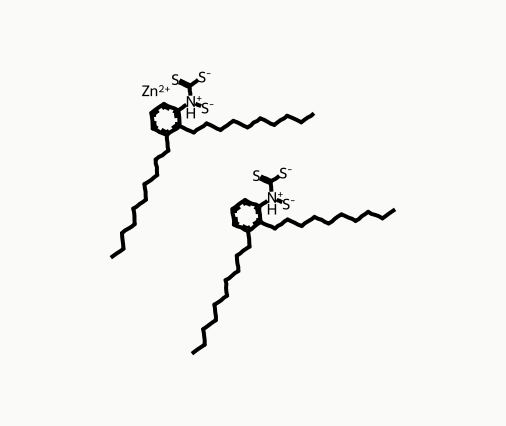 CCCCCCCCCCc1cccc([NH+]([S-])C(=S)[S-])c1CCCCCCCCCC.CCCCCCCCCCc1cccc([NH+]([S-])C(=S)[S-])c1CCCCCCCCCC.[Zn+2]